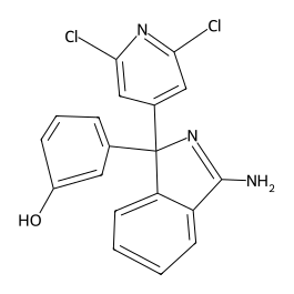 NC1=NC(c2cccc(O)c2)(c2cc(Cl)nc(Cl)c2)c2ccccc21